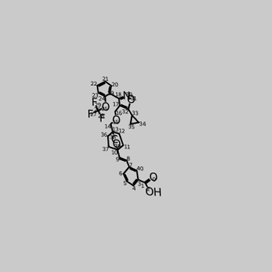 O=C(O)c1cccc(/C=C/C23CCC(COCc4c(-c5ccccc5OC(F)(F)F)noc4C4CC4)(CC2)CO3)c1